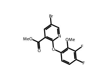 COC(=O)c1cc(Br)cnc1Oc1ccc(F)c(F)c1OC